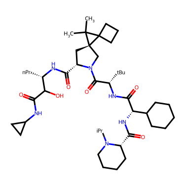 CCC[C@H](NC(=O)[C@@H]1C[C@@]2(CN1C(=O)[C@@H](NC(=O)[C@@H](NC(=O)[C@@H]1CCCCN1C(C)C)C1CCCCC1)C(C)(C)C)C(C)(C)C21CCC1)C(O)C(=O)NC1CC1